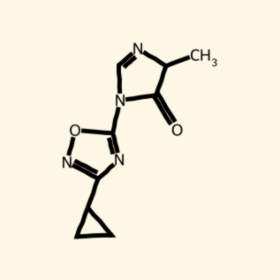 CC1N=CN(c2nc(C3CC3)no2)C1=O